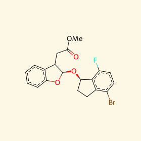 COC(=O)CC1c2ccccc2O[C@@H]1O[C@@H]1CCc2c(Br)ccc(F)c21